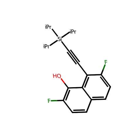 CC(C)[Si](C#Cc1c(F)ccc2ccc(F)c(O)c12)(C(C)C)C(C)C